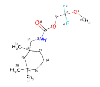 COC(F)(F)COC(=O)NCC1(C)CCCC(C)(C)C1